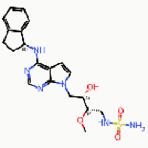 CO[C@@H](CNS(N)(=O)=O)[C@@H](O)Cn1ccc2c(N[C@H]3CCc4ccccc43)ncnc21